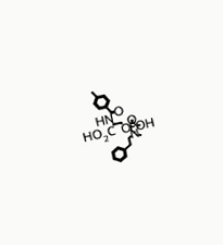 Cc1ccc(C(=O)NC(COP(=O)(O)N(C)CCc2ccccc2)C(=O)O)cc1